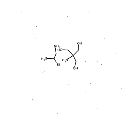 CCC(N)C[N+](=O)[O-].NC(CO)(CO)CO